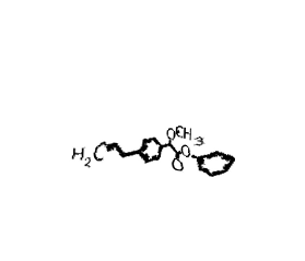 C=CCc1ccc(C(OC)C(=O)Oc2ccccc2)cc1